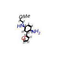 COCCNc1ccc(N)c(-c2ccco2)c1